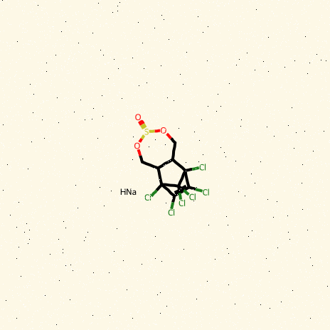 O=S1OCC2C(CO1)C1(Cl)C(Cl)=C(Cl)C2(Cl)C1(Cl)Cl.[NaH]